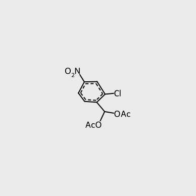 CC(=O)OC(OC(C)=O)c1ccc([N+](=O)[O-])cc1Cl